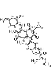 CCN(C)S(=O)(=O)Nc1cccc(-n2c(=O)n(C3CC3)c(=O)c3c(Nc4ccc(C)cc4F)n(C)c(=O)c(C)c32)c1